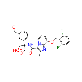 Cc1nc2c(OCc3c(F)cccc3F)cccn2c1C(=O)NC(CO)(CO)c1cccc(CO)c1